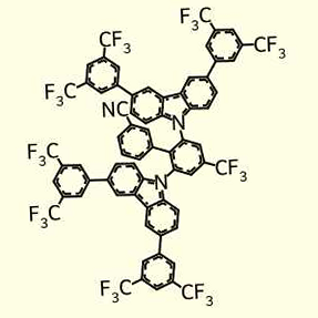 N#Cc1cccc(-c2c(-n3c4ccc(-c5cc(C(F)(F)F)cc(C(F)(F)F)c5)cc4c4cc(-c5cc(C(F)(F)F)cc(C(F)(F)F)c5)ccc43)cc(C(F)(F)F)cc2-n2c3ccc(-c4cc(C(F)(F)F)cc(C(F)(F)F)c4)cc3c3cc(-c4cc(C(F)(F)F)cc(C(F)(F)F)c4)ccc32)c1